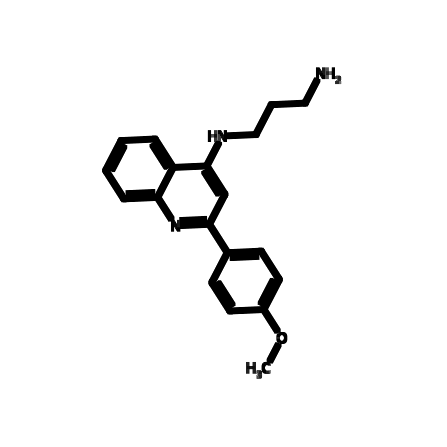 COc1ccc(-c2cc(NCCCN)c3ccccc3n2)cc1